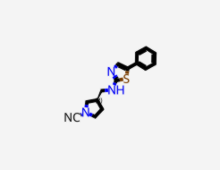 N#CN1CC[C@H](CNc2ncc(-c3ccccc3)s2)C1